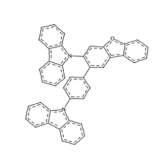 c1ccc2c(c1)oc1cc(-n3c4ccccc4c4ccccc43)c(-c3ccc(-n4c5ccccc5c5ccccc54)cc3)cc12